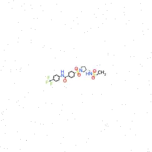 C=CS(=O)(=O)NC[C@H]1CCN(S(=O)(=O)c2ccc(C(=O)Nc3ccc(C(F)(F)F)cc3)cc2)C1